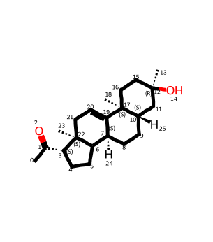 CC(=O)[C@H]1CCC2[C@@H]3CC[C@H]4C[C@](C)(O)CC[C@]4(C)C3=CC[C@@]21C